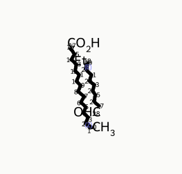 C/C=C\CCCCCCCCCCCCCCC(=O)O.CC/C=C/CCCCCCCC=O